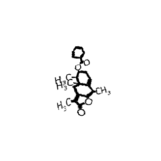 CC1=C2C[C@@]3(C)C(=CC[C@H](OC(=O)c4ccccc4)[C@@H]3C)C(C)=C2OC1=O